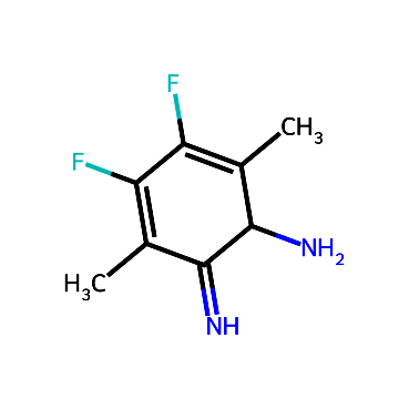 CC1=C(F)C(F)=C(C)C(N)C1=N